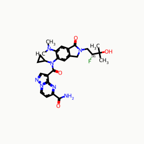 CN(C)c1cc2c(cc1N(C(=O)c1cnn3ccc(C(N)=O)nc13)C1CC1)CN(C[C@@H](F)C(C)(C)O)C2=O